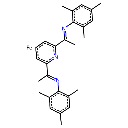 CC(=Nc1c(C)cc(C)cc1C)c1cccc(C(C)=Nc2c(C)cc(C)cc2C)n1.[Fe]